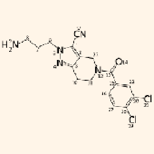 N#Cc1c2c(nn1CCCN)CCN(C(=O)c1ccc(Cl)c(Cl)c1)C2